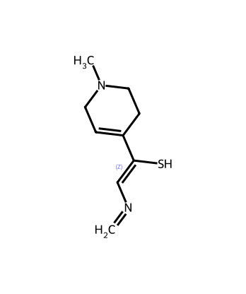 C=N/C=C(\S)C1=CCN(C)CC1